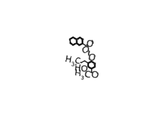 CCCc1c(OCCOC(=O)c2ccc3ccccc3c2)ccc(C(C)=O)c1O